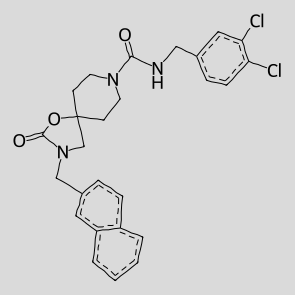 O=C(NCc1ccc(Cl)c(Cl)c1)N1CCC2(CC1)CN(Cc1ccc3ccccc3c1)C(=O)O2